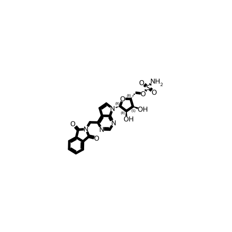 NS(=O)(=O)OC[C@H]1O[C@@H](n2ccc3c(CN4C(=O)c5ccccc5C4=O)ncnc32)[C@H](O)[C@@H]1O